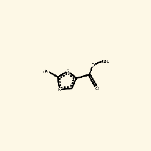 CCCc1ncc(C(=O)OC(C)(C)C)s1